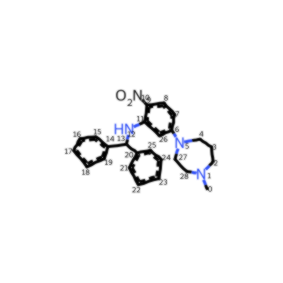 CN1CCCN(c2ccc([N+](=O)[O-])c(NC(c3ccccc3)c3ccccc3)c2)CC1